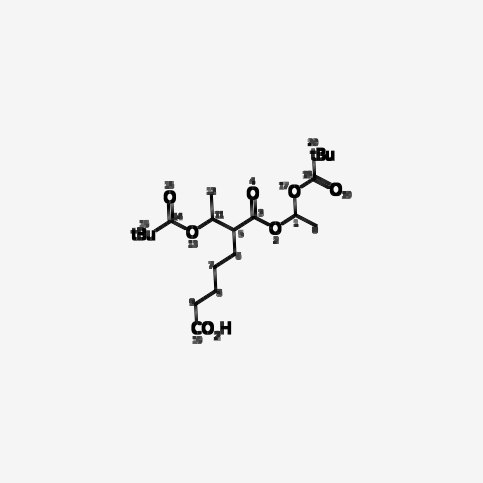 CC(OC(=O)C(CCCCC(=O)O)C(C)OC(=O)C(C)(C)C)OC(=O)C(C)(C)C